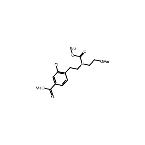 COCCN(CCc1ccc(C(=O)OC)cc1Cl)C(=O)OC(C)(C)C